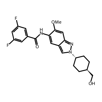 COc1cc2nn([C@H]3CC[C@H](CO)CC3)cc2cc1NC(=O)c1cc(F)cc(F)c1